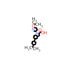 CC(C)Oc1ccc(N2c3ccc(-c4ccc(C(C)C)cc4)cc3CC2C(=O)O)cn1